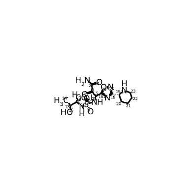 C=C(C(N)=O)[C@H](NS(=O)(=O)N[C@H](C(=O)O)C(C)O)c1nc([C@H]2CCCCN2)no1